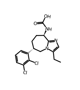 CCc1cnc2n1C[C@H](c1cccc(Cl)c1Cl)CC[C@H]2NC(=O)O